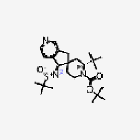 CC(C)(C)OC(=O)N1CCC2(Cc3cnccc3/C2=N\[S+]([O-])C(C)(C)C)C[C@@H]1C(C)(C)C